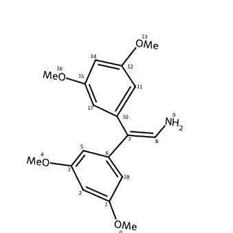 COc1cc(OC)cc(C(=CN)c2cc(OC)cc(OC)c2)c1